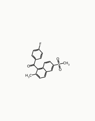 Cc1ccc2cc(S(C)(=O)=O)ccc2c1C(=O)c1ccc(F)cc1